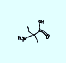 CC(C)([SiH3])C(=O)O